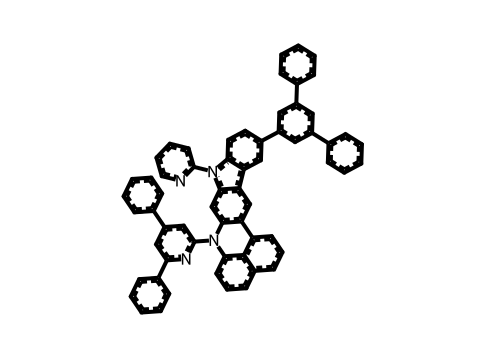 c1ccc(-c2cc(-c3ccccc3)cc(-c3ccc4c(c3)c3cc5c(cc3n4-c3ccccn3)N(c3cc(-c4ccccc4)cc(-c4ccccc4)n3)c3cccc4cccc-5c34)c2)cc1